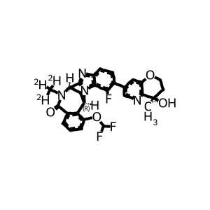 [2H]C([2H])([2H])N1C(=O)c2cccc(OC(F)F)c2[C@H]2C[C@@H]1c1nc3ccc(-c4cnc5c(c4)OCC[C@]5(C)O)c(F)c3n12